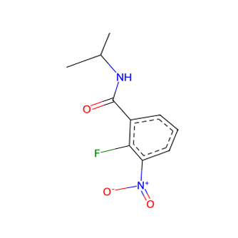 CC(C)NC(=O)c1cccc([N+](=O)[O-])c1F